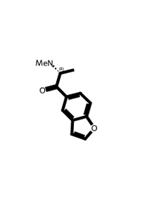 CN[C@H](C)C(=O)c1ccc2occc2c1